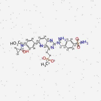 CS(=O)(=O)CCc1nc(N(N)Cc2ccc(S(N)(=O)=O)cc2)nc2ccc(-c3ccc(N(C(=O)O)C4(O)CC4)cc3)nc12